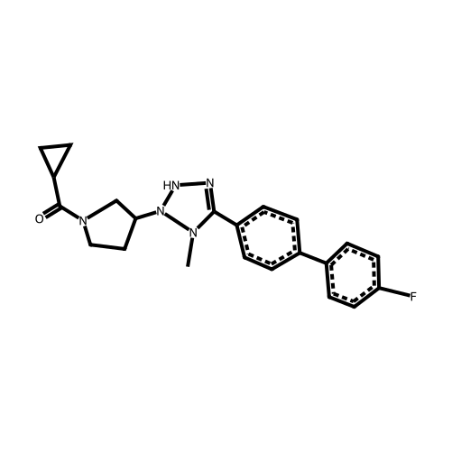 CN1C(c2ccc(-c3ccc(F)cc3)cc2)=NNN1C1CCN(C(=O)C2CC2)C1